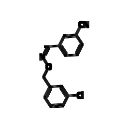 N#Cc1cccc(/[C]=N\OCc2cccc(Cl)c2)c1